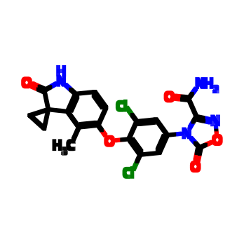 Cc1c(Oc2c(Cl)cc(-n3c(C(N)=O)noc3=O)cc2Cl)ccc2c1C1(CC1)C(=O)N2